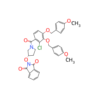 COc1ccc(COc2ccc(C(=O)N3CC[C@H](ON4C(=O)c5ccccc5C4=O)C3)c(Cl)c2OCc2ccc(OC)cc2)cc1